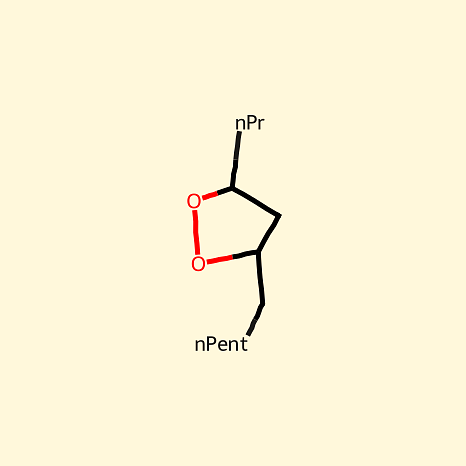 CCCCCCC1CC(CCC)OO1